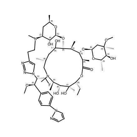 CC[C@H]1OC(=O)[C@H](C)[C@@H](O[C@H]2C[C@@](C)(OC)[C@@H](O)[C@H](C)O2)[C@H](C)[C@@H](O[C@@H]2O[C@H](C)C[C@H](N(C)CCc3cn([C@H](CF)[C@H](OC)c4ccc(-n5cccn5)cc4)nn3)[C@H]2O)[C@](C)(O)C[C@@H](C)CN(C)[C@H](C)[C@@H](O)[C@]1(C)O